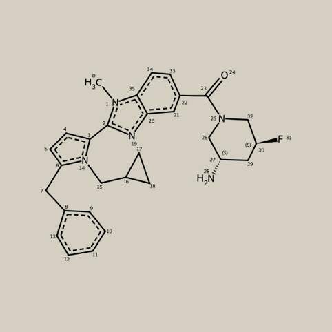 Cn1c(-c2ccc(Cc3ccccc3)n2CC2CC2)nc2cc(C(=O)N3C[C@@H](N)C[C@H](F)C3)ccc21